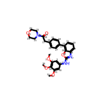 COc1cc(Nc2nc3cccc(-c4ccc(CC(=O)N5CCOCC5)cc4)c3o2)cc(OC)c1OC